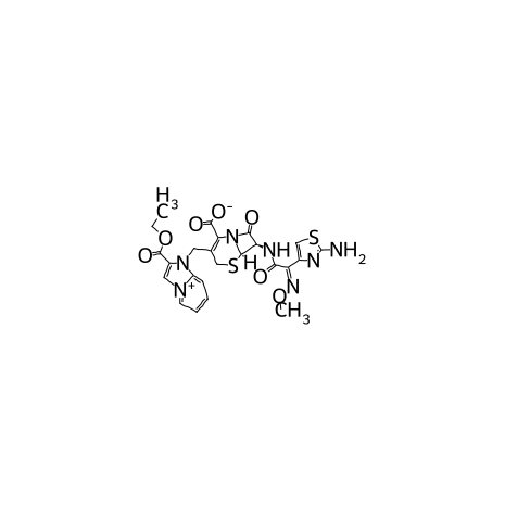 CCOC(=O)c1c[n+]2ccccc2n1CC1=C(C(=O)[O-])N2C(=O)[C@@H](NC(=O)/C(=N\OC)c3csc(N)n3)[C@H]2SC1